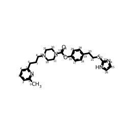 Cc1cccc(CCCN2CCN(C(=O)Oc3ccc(CCSc4ncc[nH]4)cc3)CC2)n1